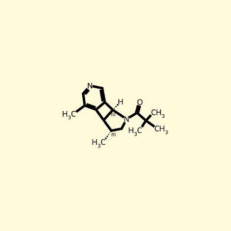 Cc1cncc2c1C1[C@@H]2N(C(=O)C(C)(C)C)C[C@@H]1C